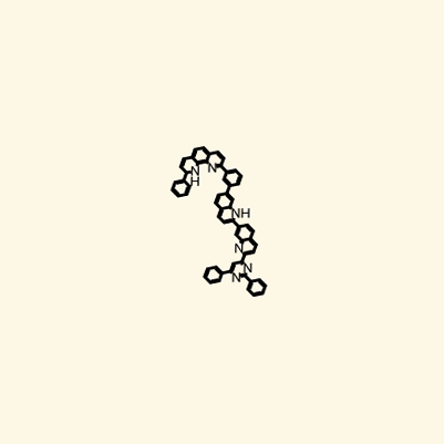 C1=CC2=CC=C(c3ccc4ccc(-c5cc(-c6ccccc6)nc(-c6ccccc6)n5)nc4c3)NC2C=C1c1cccc(-c2ccc3ccc4c(c3n2)NC(c2ccccc2)C=C4)c1